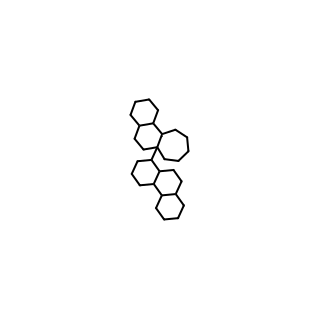 C1CC[C]2C3CCCCC3CCC2(C2CCCC3C4CCCCC4CCC32)CC1